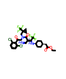 CCOC(=O)C[C@H]1CC[C@@H](N/C(=C(\C=N)C(=O)N(CC(=O)c2c(Cl)cccc2Cl)CC2(C(F)(F)F)CC2)C(F)(F)F)CC1